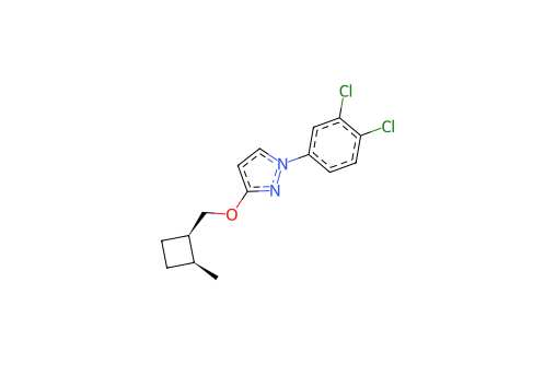 C[C@H]1CC[C@H]1COc1ccn(-c2ccc(Cl)c(Cl)c2)n1